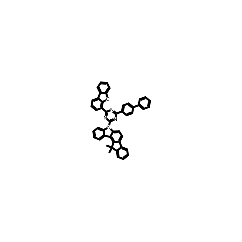 CC1(C)c2ccccc2-c2ccc3c(c21)c1ccccc1n3-c1nc(-c2ccc(-c3ccccc3)cc2)nc(-c2cccc3c2oc2ccccc23)n1